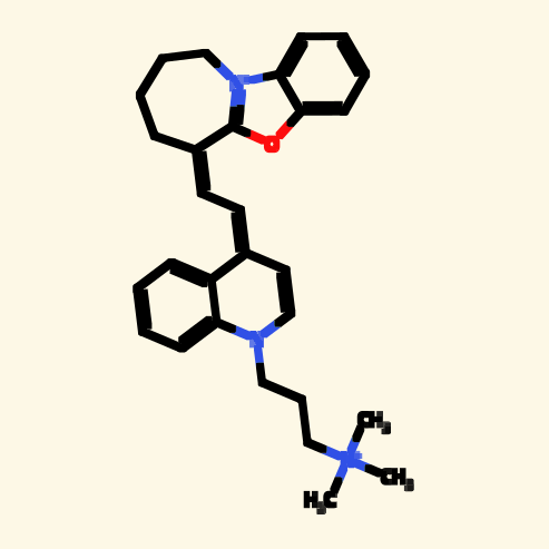 C[N+](C)(C)CCCN1C=C/C(=C/C=C2/CCCC[n+]3c2oc2ccccc23)c2ccccc21